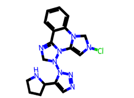 ClN1C=C2N(C1)c1ccccc1C1=NCN(n3nncc3C3CCCN3)N21